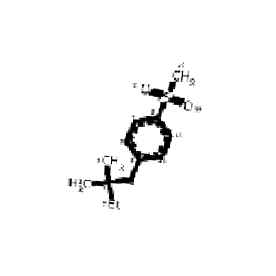 CCC(C)(C)Cc1ccc(S(C)(=O)=O)cc1